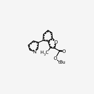 Cc1c(C(=O)OC(C)(C)C)oc2cccc(-c3cccnc3)c12